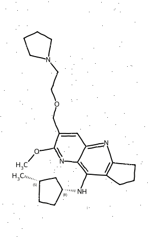 COc1nc2c(N[C@@H]3CC[C@H](C)C3)c3c(nc2cc1COCCN1CCCC1)CCC3